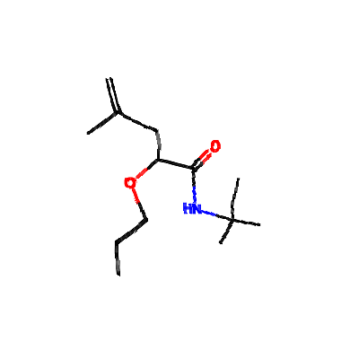 C=C(C)CC(OCCC)C(=O)NC(C)(C)C